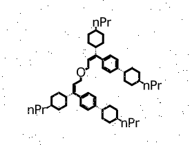 CCC[C@H]1CC[C@H](C(=CCOCC=C(c2ccc([C@H]3CC[C@H](CCC)CC3)cc2)[C@H]2CC[C@H](CCC)CC2)c2ccc([C@H]3CC[C@H](CCC)CC3)cc2)CC1